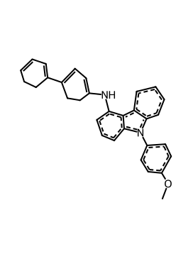 COc1ccc(-n2c3ccccc3c3c(NC4=CC=C(C5=CC=CCC5)CC4)cccc32)cc1